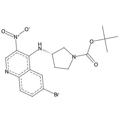 CC(C)(C)OC(=O)N1CC[C@H](Nc2c([N+](=O)[O-])cnc3ccc(Br)cc23)C1